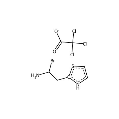 NC(Br)C[c+]1[nH]ccs1.O=C([O-])C(Cl)(Cl)Cl